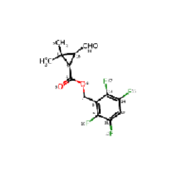 CC1(C)[C@H](C(=O)OCc2c(F)c(F)cc(F)c2F)[C@@H]1C=O